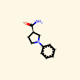 NC(=O)[C@@H]1CCN(c2ccccc2)C1